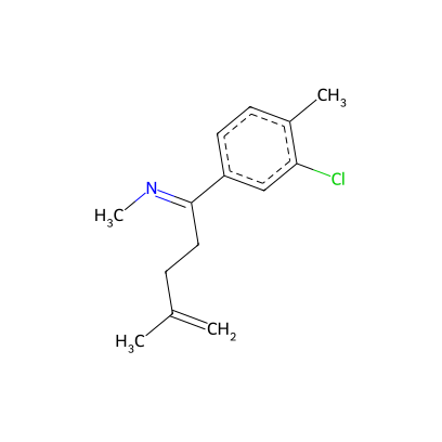 C=C(C)CC/C(=N\C)c1ccc(C)c(Cl)c1